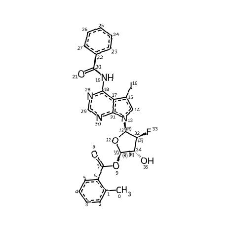 Cc1ccccc1C(=O)O[C@H]1O[C@@H](n2cc(I)c3c(NC(=O)c4ccccc4)ncnc32)[C@@H](F)[C@@H]1O